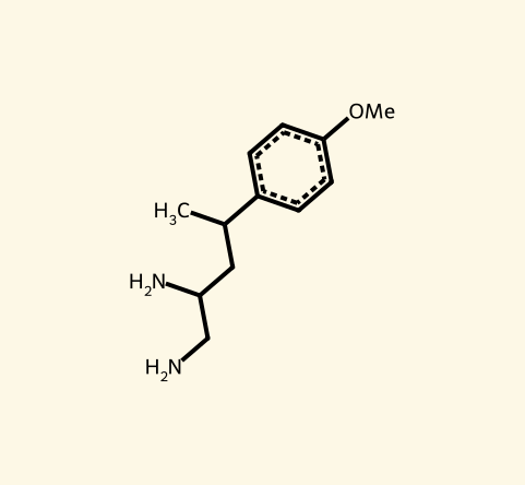 COc1ccc(C(C)CC(N)CN)cc1